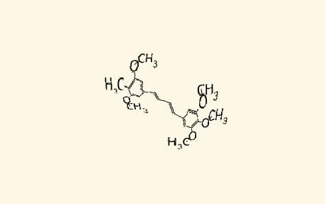 COc1cc(/C=C/C=C/c2cc(OC)c(OC)c(OC)c2)cc(OC)c1C